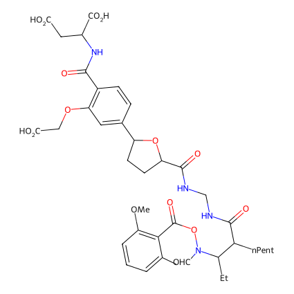 CCCCCC(C(=O)NCNC(=O)C1CCC(c2ccc(C(=O)NC(CC(=O)O)C(=O)O)c(OCC(=O)O)c2)O1)C(CC)N(C=O)OC(=O)c1c(C)cccc1OC